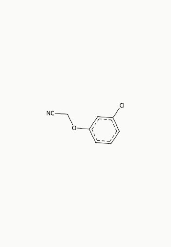 N#CCOc1[c]c(Cl)ccc1